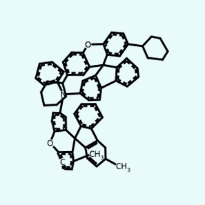 Cc1cccc2c1C1(C3=C(CC(C)C=C3)c3ccccc31)c1cc(N(c3ccccc3)c3ccc4c(c3)C3(c5cc(C6CCCCC6)ccc5Oc5ccc(C6CCCCC6)cc53)c3ccccc3-4)ccc1O2